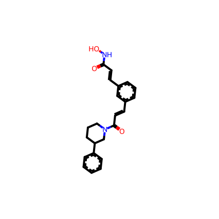 O=C(C=Cc1cccc(C=CC(=O)N2CCCC(c3ccccc3)C2)c1)NO